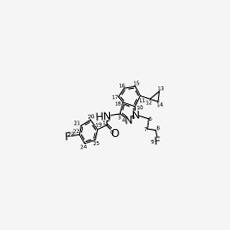 O=C(Nc1nn(CCCF)c2c(C3CC3)cccc12)c1ccc(F)cc1